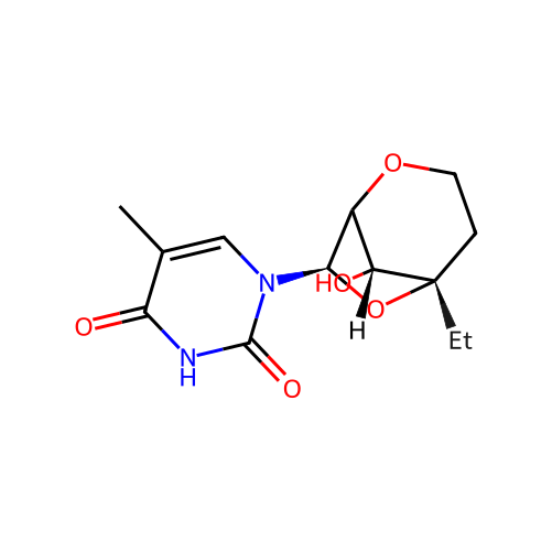 CC[C@@]12CCOC([C@H](n3cc(C)c(=O)[nH]c3=O)O1)[C@H]2O